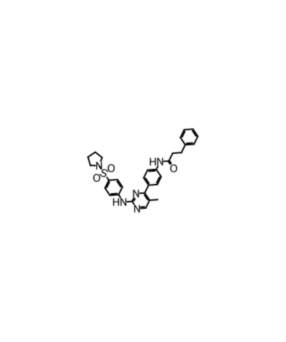 Cc1cnc(Nc2ccc(S(=O)(=O)N3CCCC3)cc2)nc1-c1ccc(NC(=O)CCc2ccccc2)cc1